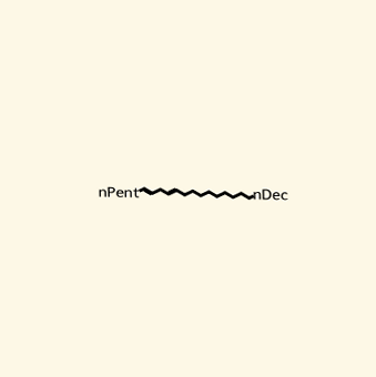 CCCCCC=CCC=CCCCCCCCCCCCCCCCCCCC